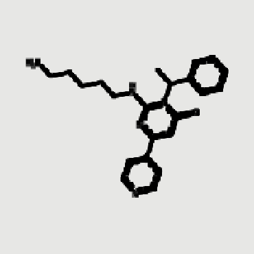 CC(c1ccccc1)n1c(NCCCCCN)nc(-c2ccncc2)cc1=O